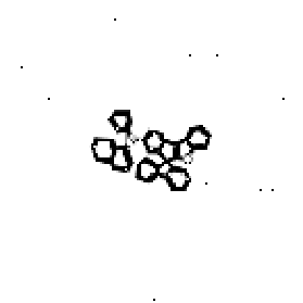 c1ccc(N(c2ccc3c(c2)C2(c4ccccc4-c4ccccc42)c2oc4ccccc4c2-3)c2cccc3ccccc23)cc1